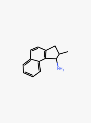 CC1Cc2ccc3ccccc3c2C1N